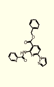 O=C(Nc1nc(-n2cccn2)ccc1C(=O)OCc1ccccc1)c1ccccn1